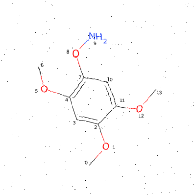 COc1cc(OC)c(ON)cc1OC